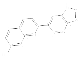 Oc1ccc2ccc(-c3cc4[nH]nnc4nn3)nc2c1